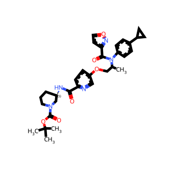 CC(COc1ccc(C(=O)N[C@H]2CCCN(C(=O)OC(C)(C)C)C2)nc1)N(C(=O)c1ccon1)c1ccc(C2CC2)cc1